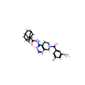 O=C(c1cc(F)cc(C(F)(F)F)c1)N1CCc2c(ncnc2NC(=O)C23CC4CC(CC(C4)C2)C3)C1